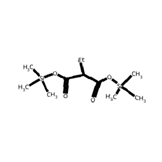 CCC(C(=O)O[Si](C)(C)C)C(=O)O[Si](C)(C)C